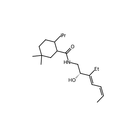 C/C=C\C=C(/CC)[C@H](O)CNC(=O)C1CC(C)(C)CCC1C(C)C